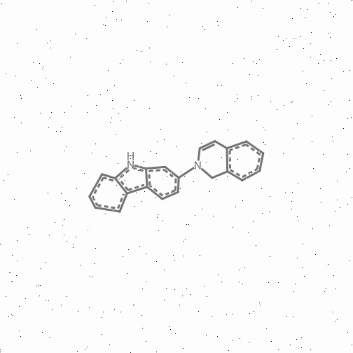 C1=CN(c2ccc3c(c2)[nH]c2ccccc23)Cc2ccccc21